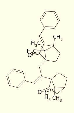 CC12CCC(CC(=Cc3ccccc3)C34CCC(CC3=O)C4(C)C)(C(=O)C1=Cc1ccccc1)C2(C)C